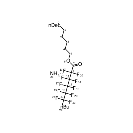 CCCCCCCCCCCCCCCOC(=O)C(F)(F)C(F)(F)C(F)(F)C(F)(F)C(F)(F)CCCC.N